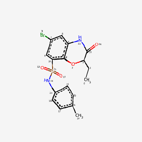 CCC1Oc2c(cc(Br)cc2S(=O)(=O)Nc2ccc(C)cc2)NC1=O